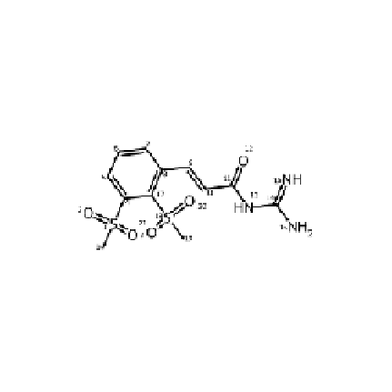 CS(=O)(=O)c1cccc(C=CC(=O)NC(=N)N)c1S(C)(=O)=O